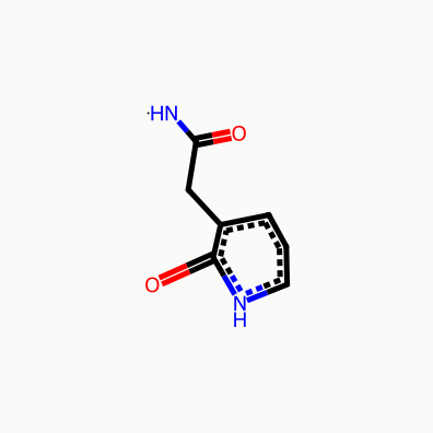 [NH]C(=O)Cc1ccc[nH]c1=O